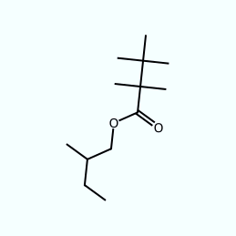 CCC(C)COC(=O)C(C)(C)C(C)(C)C